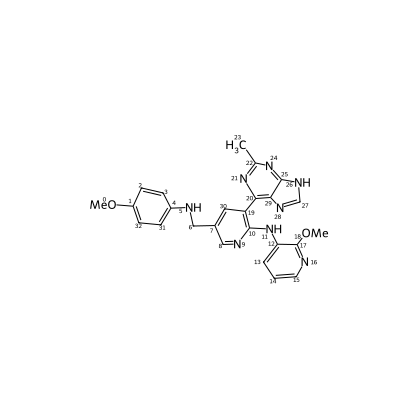 COc1ccc(NCc2cnc(Nc3cccnc3OC)c(-c3nc(C)nc4[nH]cnc34)c2)cc1